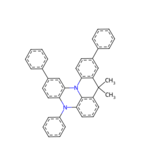 CC1(C)c2cc(-c3ccccc3)ccc2N2c3cc(-c4ccccc4)ccc3N(c3ccccc3)c3cccc1c32